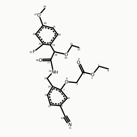 CCOC(=O)COc1cc(C#N)ccc1CNC(=O)C(OCC)c1ccc(OC)cc1F